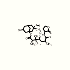 CCC1CC2CC(C)(OI)CC(OC(=O)C(C)C(C)(C)C(C)CC(C)C(=O)OC3CCOC3=O)(C1)C2